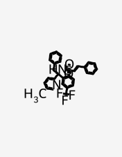 Cc1ccc(C(Cc2ccccc2)(NS(=O)(=O)/C=C/c2ccccc2)c2cccc(C(F)(F)F)c2)nc1